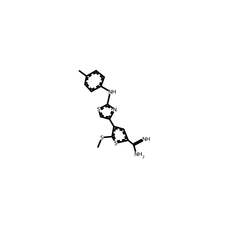 CSc1sc(C(=N)N)cc1-c1csc(Nc2ccc(C)cc2)n1